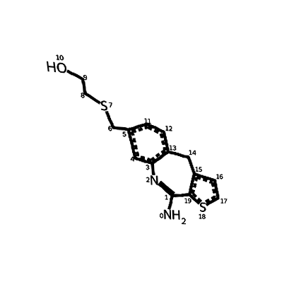 NC1=Nc2cc(CSCCO)ccc2Cc2ccsc21